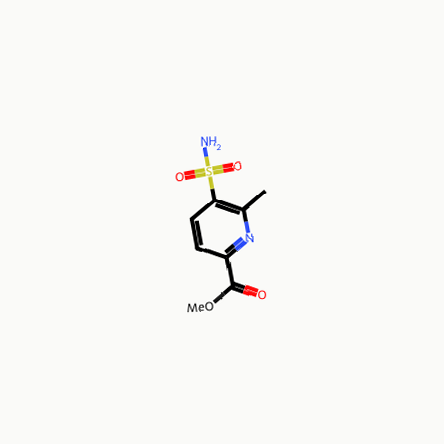 COC(=O)c1ccc(S(N)(=O)=O)c(C)n1